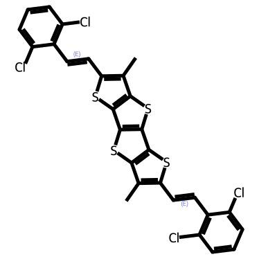 Cc1c(/C=C/c2c(Cl)cccc2Cl)sc2c1sc1c3sc(/C=C/c4c(Cl)cccc4Cl)c(C)c3sc21